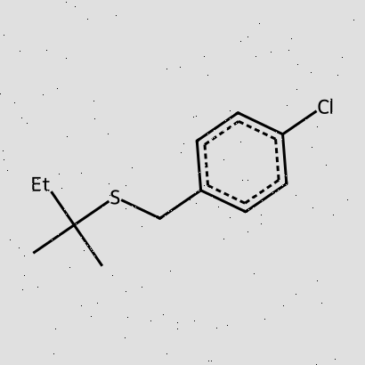 CCC(C)(C)SCc1ccc(Cl)cc1